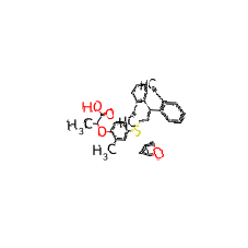 C#Cc1ccccc1C(=CCSc1ccc(OC(C)C(=O)O)c(C)c1)c1ccccc1C#C.c1oc2cc1-2